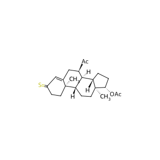 CC(=O)O[C@H]1CC[C@H]2[C@@H]3[C@H](C(C)=O)CC4=CC(=S)CC[C@]4(C)[C@H]3CC[C@]12C